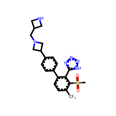 CS(=O)(=O)c1c(C(F)(F)F)ccc(-c2ccc(C3CN(CC4CNC4)C3)cc2)c1-c1nnn[nH]1